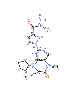 CCC1C(=O)N(C)c2cnc(-n3ccc(C(=O)N(C)C)n3)nc2N1C1CCCC1